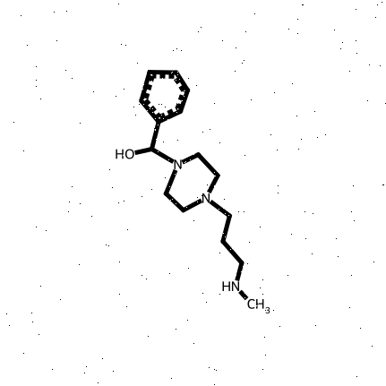 CNCCCN1CCN(C(O)c2ccccc2)CC1